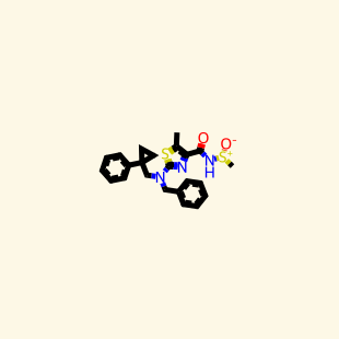 Cc1sc(N(Cc2ccccc2)CC2(c3ccccc3)CC2)nc1C(=O)N[S+](C)[O-]